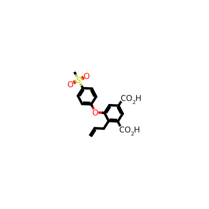 C=CCc1c(Oc2ccc(S(C)(=O)=O)cc2)cc(C(=O)O)cc1C(=O)O